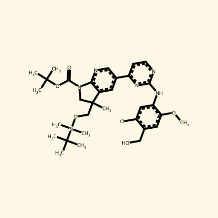 COc1cc(CO)c(Cl)cc1Nc1nccc(-c2cnc3c(c2)C(C)(CO[Si](C)(C)C(C)(C)C)CN3C(=O)OC(C)(C)C)n1